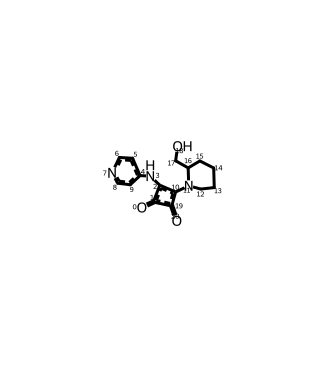 O=c1c(Nc2ccncc2)c(N2CCCCC2CO)c1=O